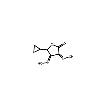 O=C1OC(C2CC2)C(=NO)C1=NO